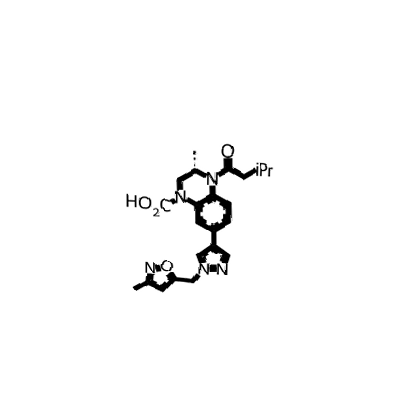 Cc1cc(Cn2cc(-c3ccc4c(c3)N(C(=O)O)C[C@H](C)N4C(=O)CC(C)C)cn2)on1